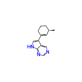 C[C@H]1C=C(c2c[nH]c3ncncc23)CCC1